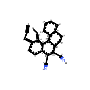 C#C/C=c1/ccc2c(C#N)c(C#N)c3ccc4ccccc4c3c2/c1=C/C